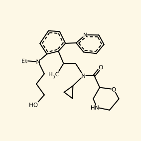 CCN(CCCO)c1cccc(-c2ccccn2)c1C(C)CN(C(=O)C1CNCCO1)C1CC1